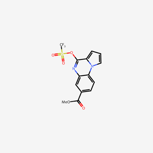 COC(=O)c1ccc2c(c1)nc(OS(=O)(=O)C(F)(F)F)c1cccn12